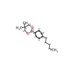 CCCCCc1ccc(B2OCC(C)(C)CO2)cc1